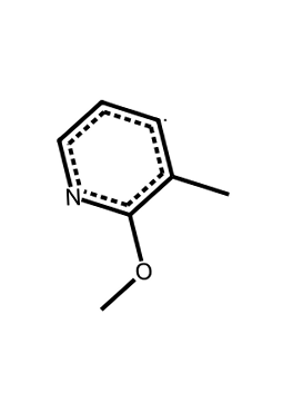 COc1ncc[c]c1C